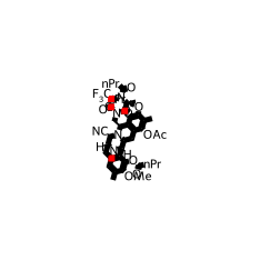 CCCC(=O)Oc1c(OC)c(C)cc2c1[C@@H]1C3Cc4c(OC(C)=O)c(C)c5c(c4[C@H](CN(C(=O)CCC)C(=O)[C@H](C)N(C(=O)CCC)C(=O)C(F)(F)F)N3[C@@H](C#N)[C@H](C2)N1C)OCO5